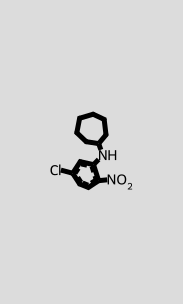 O=[N+]([O-])c1ccc(Cl)cc1NC1CCCCCC1